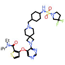 CCN(C(=O)c1sccc1Oc1cncnc1N1CC2(CCN(CC3CCC(NS(=O)(=O)N4CCC(F)(F)C4)CC3)CC2)C1)C(C)C